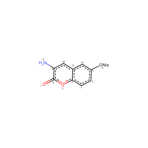 COc1ccc2oc(=O)c(N)cc2c1